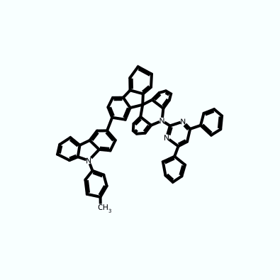 Cc1ccc(-n2c3ccccc3c3cc(-c4ccc5c(c4)C4(c6ccccc6-5)c5ccccc5N(c5nc(-c6ccccc6)cc(-c6ccccc6)n5)c5ccccc54)ccc32)cc1